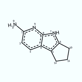 Nc1ccc2c3c([nH]c2n1)CCC3